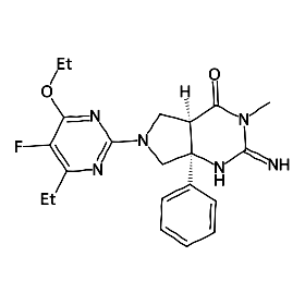 CCOc1nc(N2C[C@H]3C(=O)N(C)C(=N)N[C@@]3(c3ccccc3)C2)nc(CC)c1F